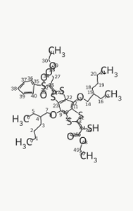 CCCCC(CC)COc1c2c(c(OCC(CC)CCCC)c3c1SC(=C(COOCC)S(=O)(=O)c1ccccc1)S3)SC(=C(S)C(=O)OCC)S2